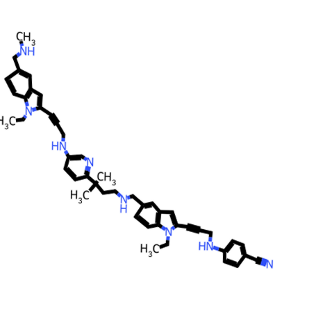 CCn1c(C#CCNc2ccc(C(C)(C)CCNCc3ccc4c(c3)cc(C#CCNc3ccc(C#N)cc3)n4CC)nc2)cc2cc(CNC)ccc21